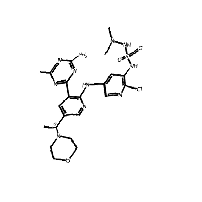 Cc1nc(N)nc(-c2cc([C@H](C)N3CCOCC3)cnc2Nc2cnc(Cl)c(NS(=O)(=O)NN(C)C)c2)n1